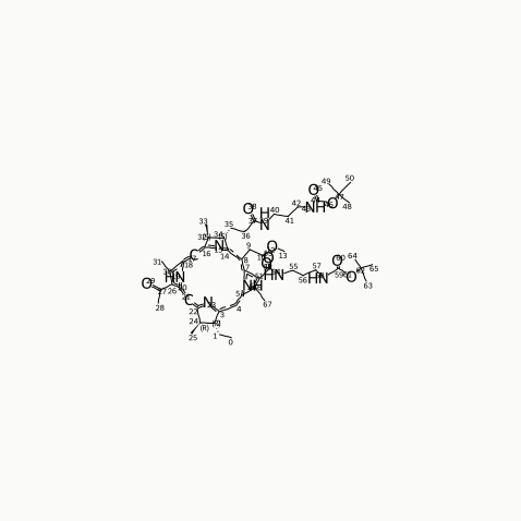 CC[C@H]1c2cc3[nH]c(c(CC(=O)OC)c4nc(cc5[nH]c(cc(n2)[C@@H]1C)c(C(C)=O)c5C)[C@@H](C)[C@@H]4CCC(=O)NCCCNC(=O)OC(C)(C)C)c(C(=O)NCCCNC(=O)OC(C)(C)C)c3C